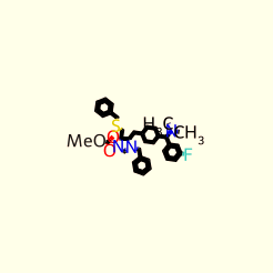 COC(=O)OC1(CSCc2ccccc2)N=CN(Cc2ccccc2)C1CC1CCC(C(c2cccc(F)c2)N(C)C)CC1